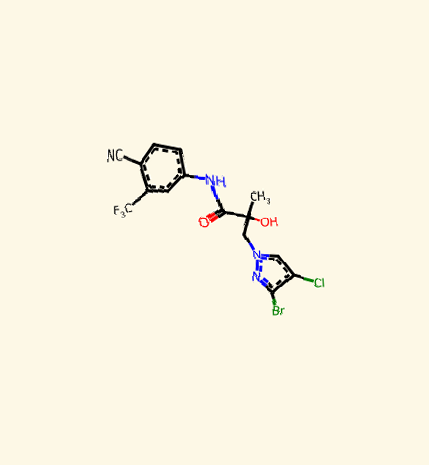 CC(O)(Cn1cc(Cl)c(Br)n1)C(=O)Nc1ccc(C#N)c(C(F)(F)F)c1